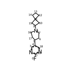 Fc1ncc(C2CCN(C3CC4(CCC4)C3)CC2)cn1